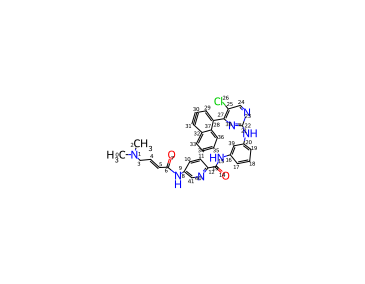 CN(C)C/C=C/C(=O)Nc1ccc(C(=O)Nc2cccc(Nc3ncc(Cl)c(-c4cc#cc5ccccc45)n3)c2)nc1